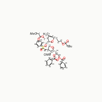 COCC(=O)OC[C@@H]1C(C)=C[C@H](CCCOC(=O)C(C)(C)C)O[C@@H]1C[C@@H]1O[C@H](CC(COC(=O)c2ccccc2)OC(=O)c2ccccc2)[C@H](OC)[C@H]1CS(=O)(=O)c1ccccc1